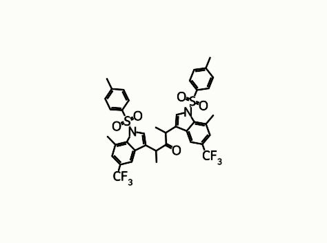 Cc1ccc(S(=O)(=O)n2cc(C(C)C(=O)C(C)c3cn(S(=O)(=O)c4ccc(C)cc4)c4c(C)cc(C(F)(F)F)cc34)c3cc(C(F)(F)F)cc(C)c32)cc1